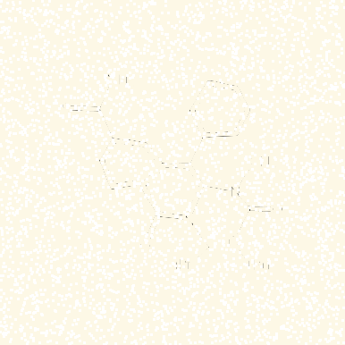 CC(C)Cn1c(N(C)C(=O)OC(C)(C)C)c(-c2ccccc2)c2cc(C(N)=S)ccc2c1=O